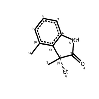 CC[C@@]1(C)C(=O)Nc2cccc(C)c21